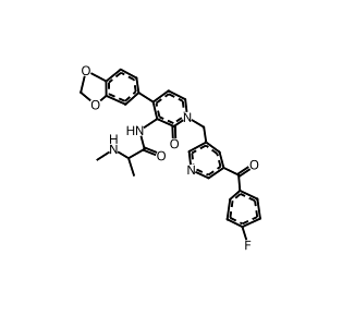 CNC(C)C(=O)Nc1c(-c2ccc3c(c2)OCO3)ccn(Cc2cncc(C(=O)c3ccc(F)cc3)c2)c1=O